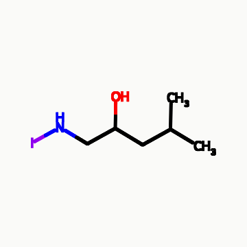 CC(C)CC(O)CNI